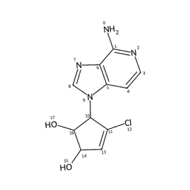 Nc1nccc2c1ncn2C1C(Cl)=CC(O)C1O